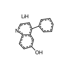 Oc1ccc2nccc(-c3ccccc3)c2c1.[LiH]